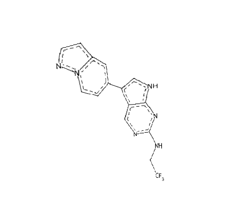 FC(F)(F)CNc1ncc2c(-c3ccn4nccc4c3)c[nH]c2n1